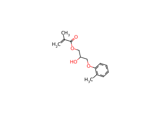 C=C(C)C(=O)OCC(O)COc1ccccc1C